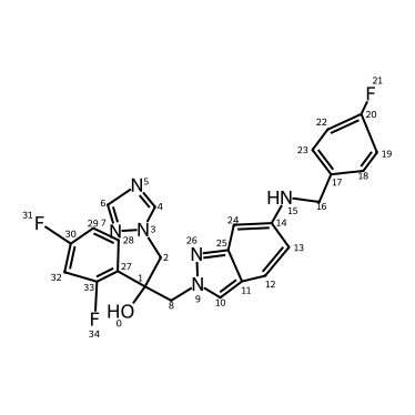 OC(Cn1cncn1)(Cn1cc2ccc(NCc3ccc(F)cc3)cc2n1)c1ccc(F)cc1F